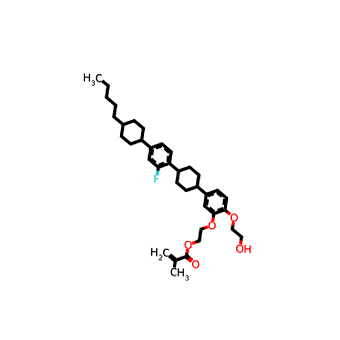 C=C(C)C(=O)OCCOc1cc(C2CCC(c3ccc(C4CCC(CCCCC)CC4)cc3F)CC2)ccc1OCCO